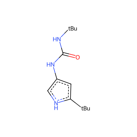 CC(C)(C)NC(=O)Nc1c[nH]c(C(C)(C)C)c1